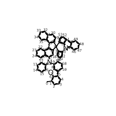 Cc1cccc2c1oc1c(N(c3ccccc3)c3cc4c(c5ccccc35)-c3c(ccc5ccccc35)C43c4ccccc4-n4c5ccccc5c5cccc3c54)cccc12